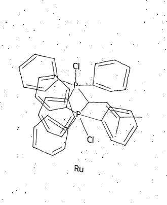 CC(C)=CC(P(Cl)(c1ccccc1)(c1ccccc1)c1ccccc1)P(Cl)(c1ccccc1)(c1ccccc1)c1ccccc1.[Ru]